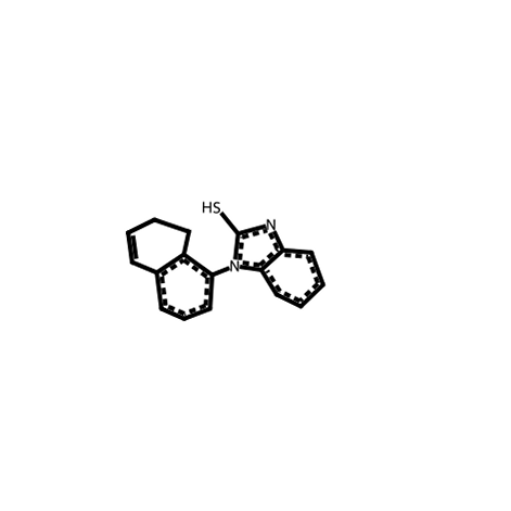 Sc1nc2ccccc2n1-c1cccc2c1CCC=C2